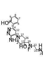 Nc1nnc(-c2ccccc2O)cc1N1CCC(O)(CN(I)CCNI)CC1